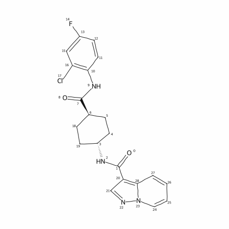 O=C(N[C@H]1CC[C@H](C(=O)Nc2ccc(F)cc2Cl)CC1)c1cnn2ccccc12